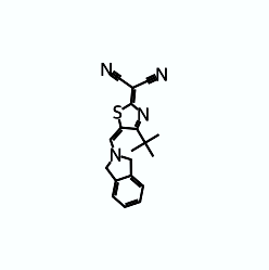 CC(C)(C)c1nc(=C(C#N)C#N)s/c1=C/N1Cc2ccccc2C1